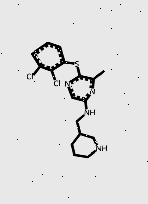 Cc1nc(NCC2CCCNC2)cnc1Sc1cccc(Cl)c1Cl